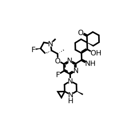 C[C@@H]1CN(c2nc(C(=N)C3=C(O)[C@]4(CCCCC4=O)CCC3)nc(O[C@@H](C)[C@@H]3C[C@@H](F)CN3C)c2F)CC2(CC2)N1